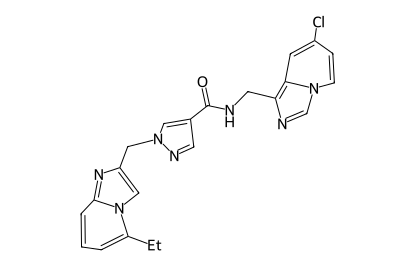 CCc1cccc2nc(Cn3cc(C(=O)NCc4ncn5ccc(Cl)cc45)cn3)cn12